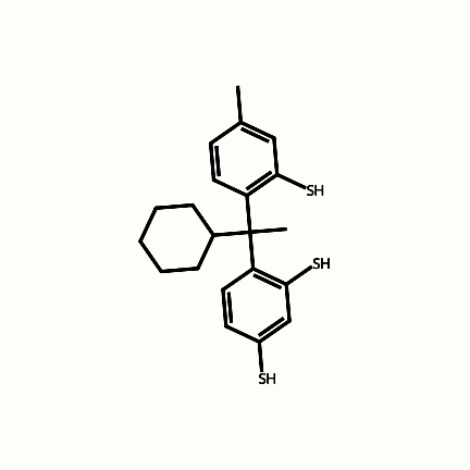 Cc1ccc(C(C)(c2ccc(S)cc2S)C2CCCCC2)c(S)c1